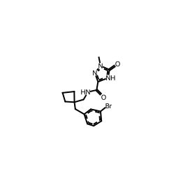 Cn1nc(C(=O)NCC2(Cc3cccc(Br)c3)CCC2)[nH]c1=O